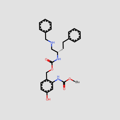 CC(C)(C)OC(=O)Nc1cc(O)ccc1COC(=O)N[C@@H](CCc1ccccc1)CNCc1ccccc1